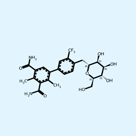 Cc1c(C(N)=O)cc(-c2ccc(C[C@H]3O[C@H](CO)[C@@H](O)[C@H](O)[C@@H]3O)c(C(F)(F)F)c2)c(C)c1C(N)=O